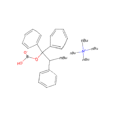 CCCCC(c1ccccc1)C(OB([O-])O)(c1ccccc1)c1ccccc1.CCCC[N+](CCCC)(CCCC)CCCC